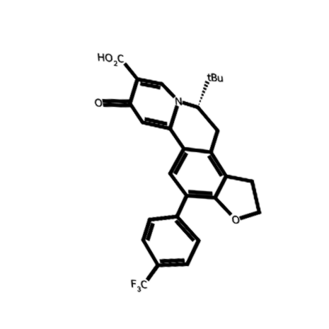 CC(C)(C)[C@@H]1Cc2c(cc(-c3ccc(C(F)(F)F)cc3)c3c2CCO3)-c2cc(=O)c(C(=O)O)cn21